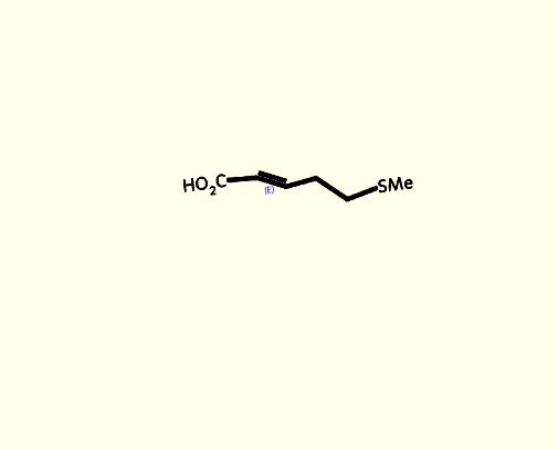 CSCC/C=C/C(=O)O